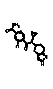 NC(=O)c1ccc(C(=O)N(C2CC2)C2CCc3n[nH]cc3C2)c(Cl)c1